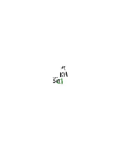 [Cl].[KH].[Pt].[Sn]